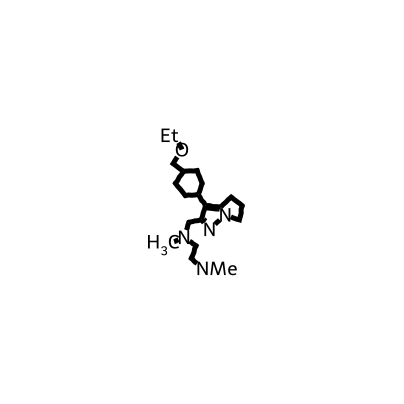 CCOCC1CCC(c2c(CN(C)CCNC)nn3c2CCC3)CC1